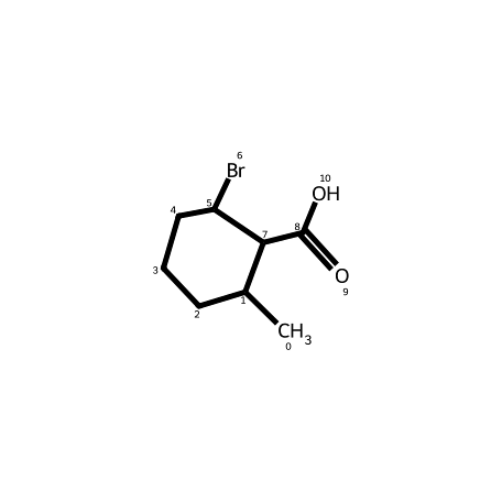 CC1CCCC(Br)C1C(=O)O